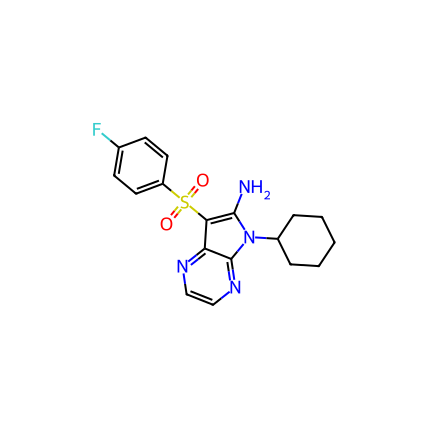 Nc1c(S(=O)(=O)c2ccc(F)cc2)c2nccnc2n1C1CCCCC1